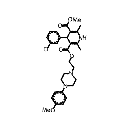 COC(=O)C1=C(C)NC(C)=C(C(=O)OCCN2CCN(c3ccc(OC)cc3)CC2)C1c1cccc(Cl)c1